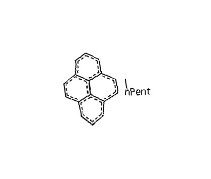 CCCCCC.c1cc2ccc3cccc4ccc(c1)c2c34